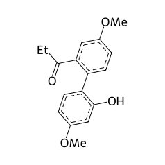 CCC(=O)c1cc(OC)ccc1-c1ccc(OC)cc1O